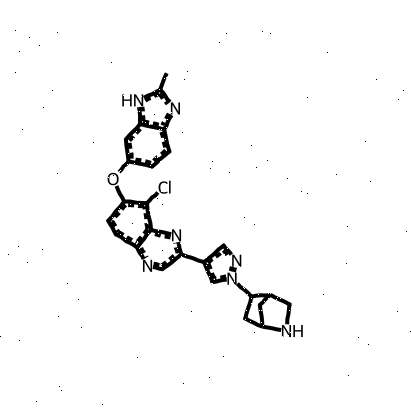 Cc1nc2ccc(Oc3ccc4ncc(-c5cnn(C6CC7CC6CN7)c5)nc4c3Cl)cc2[nH]1